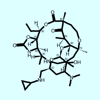 CC[C@H]1OC(=O)[C@]2(C)CCO[C@@](C)(C[C@@H](C)CN[C@H](C)[C@H]3NC(=O)O[C@@H]31)[C@H](O[C@@H]1O[C@H](CNC3CC3)CC(N(C)C)C1O)[C@@H](C)C2=O